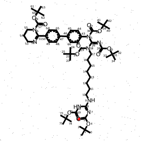 CC(C)(C)OC(=O)/N=C(/NCCCCCCCCN(C(=O)OC(C)(C)C)/C(=N\C(=O)OC(C)(C)C)N(C(=O)OC(C)(C)C)c1ccc(-c2ccc(C3=NCCCN3C(=O)OC(C)(C)C)cc2)cc1)NC(=O)OC(C)(C)C